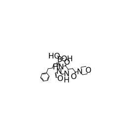 O=C(N[C@@H](CCCc1ccccc1)B(O)O)C(CC(=O)N1CCOCC1)Nc1ncco1